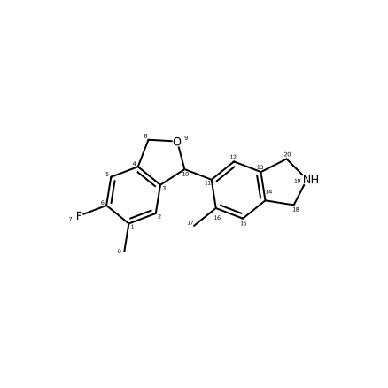 Cc1cc2c(cc1F)COC2c1cc2c(cc1C)CNC2